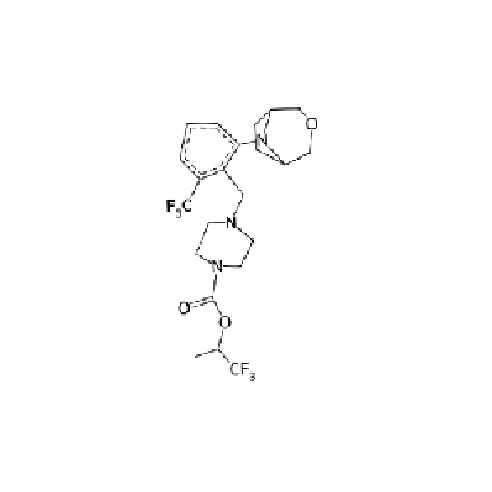 CC(OC(=O)N1CCN(Cc2c(N3C4CCC3COC4)cccc2C(F)(F)F)CC1)C(F)(F)F